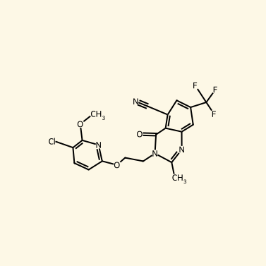 COc1nc(OCCn2c(C)nc3cc(C(F)(F)F)cc(C#N)c3c2=O)ccc1Cl